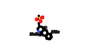 COc1cccc2c1C[C@@H]1C[C@H](COS(C)(=O)=O)CN(OC)[C@H]1C2